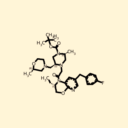 CC[C@H]1COc2ncc(Cc3ccc(F)cc3)cc2N1C(=O)CN1C[C@@H](C)N(C(=O)OC(C)(C)C)C[C@@H]1CN1CCO[C@H](C)C1